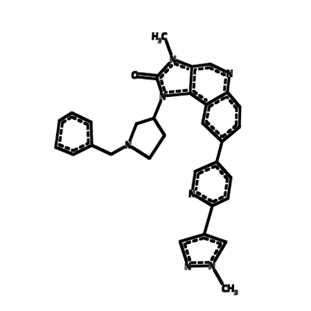 Cn1cc(-c2ccc(-c3ccc4ncc5c(c4c3)n(C3CCN(Cc4ccccc4)C3)c(=O)n5C)cn2)cn1